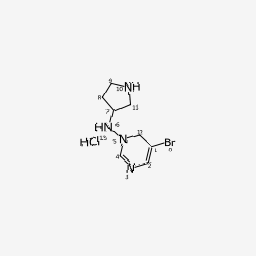 BrC1=CN=CN(NC2CCNC2)C1.Cl